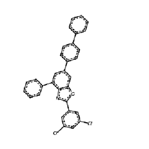 Clc1cc(Cl)cc(-c2nc3c(-c4ccccc4)cc(-c4ccc(-c5ccccc5)cc4)cc3o2)c1